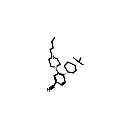 CCCCN1CCN(c2cc(C#N)ccc2[C@H]2CC[C@@H](C(C)(C)C)CC2)CC1